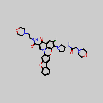 O=C(CN1CCOCC1)N[C@@H]1CCN(c2c(F)cc3c(=O)c(C(=O)NCCN4CCOCC4)cn4c3c2Oc2cc3c(cc2-4)oc2ccccc23)C1